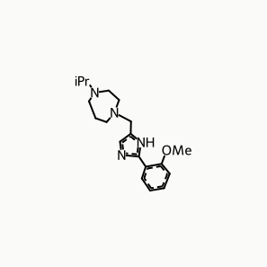 COc1ccccc1-c1ncc(CN2CCCN(C(C)C)CC2)[nH]1